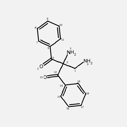 NCC(N)(C(=O)c1ccccc1)C(=O)c1ccccc1